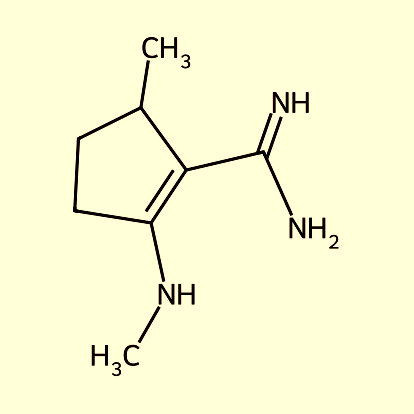 CNC1=C(C(=N)N)C(C)CC1